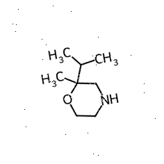 CC(C)C1(C)CNCCO1